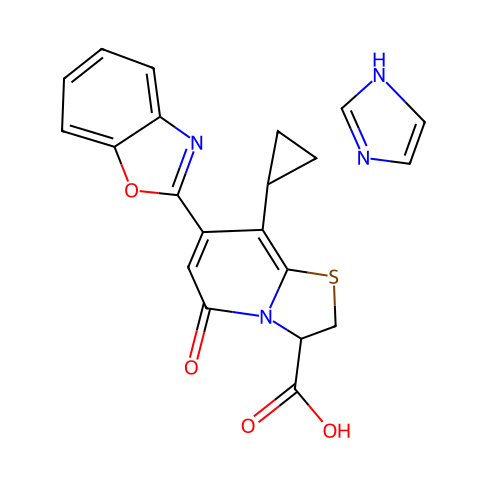 O=C(O)C1CSc2c(C3CC3)c(-c3nc4ccccc4o3)cc(=O)n21.c1c[nH]cn1